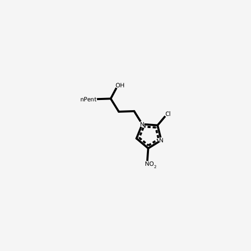 CCCCCC(O)CCn1cc([N+](=O)[O-])nc1Cl